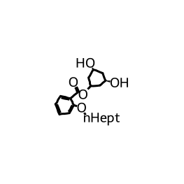 CCCCCCCOc1ccccc1C(=O)OC1C[C@H](O)C[C@@H](O)C1